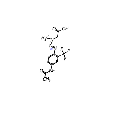 CC(=O)Nc1ccc(/N=N/N(C)CC(=O)O)c(C(F)(F)F)c1